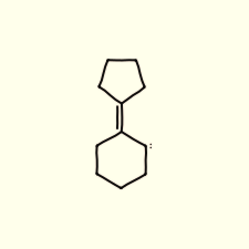 [C]1CCCCC1=C1CCCC1